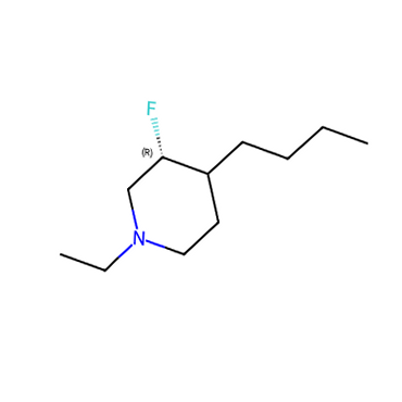 CCCCC1CCN(CC)C[C@@H]1F